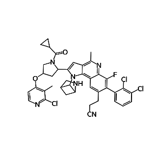 Cc1c(OC2CC(c3cc4c(C)nc5c(F)c(-c6cccc(Cl)c6Cl)c(CCC#N)cc5c4n3C3C4CNC3C4)N(C(=O)C3CC3)C2)ccnc1Cl